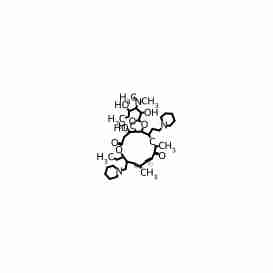 CCC1OC(=O)CC(O)C(C)C(OC2OC(C)C(O)C(N(C)C)C2O)C(CCN2CCCCC2)CC(C)C(=O)/C=C/C(C)=C/C1CN1CCCCC1